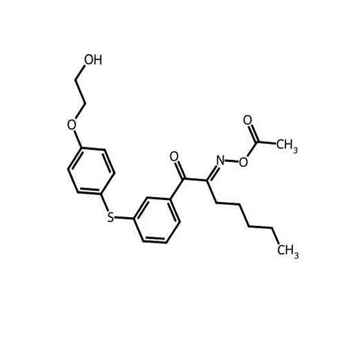 CCCCC/C(=N\OC(C)=O)C(=O)c1cccc(Sc2ccc(OCCO)cc2)c1